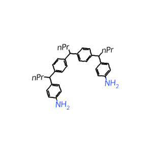 CCCC(c1ccc(N)cc1)c1ccc(C(CCC)c2ccc(C(CCC)c3ccc(N)cc3)cc2)cc1